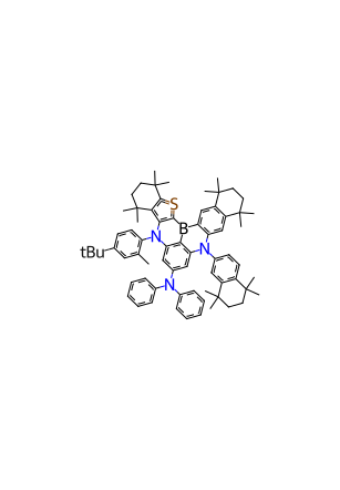 Cc1cc(C(C)(C)C)ccc1N1c2cc(N(c3ccccc3)c3ccccc3)cc3c2B(c2cc4c(cc2N3c2ccc3c(c2)C(C)(C)CCC3(C)C)C(C)(C)CCC4(C)C)c2sc3c(c21)C(C)(C)CCC3(C)C